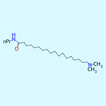 CCCNC(=O)CCCCCCCCCCCCCCCCCN(C)C